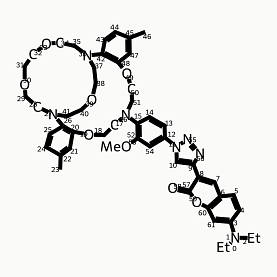 CCN(CC)c1ccc2cc(-c3cn(-c4ccc(N5CCOc6cc(C)ccc6N6CCOCCOCCN(CCOCC6)c6ccc(C)cc6OCC5)c(OC)c4)nn3)c(=O)oc2c1